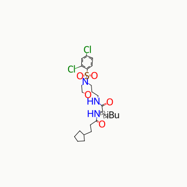 CC[C@H](C)[C@H](NC(=O)CCC1CCCC1)C(=O)NCC1CN(S(=O)(=O)c2ccc(Cl)cc2Cl)CCO1